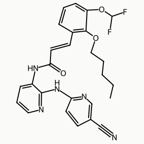 CCCCCOc1c(/C=C/C(=O)Nc2cccnc2Nc2ccc(C#N)cn2)cccc1OC(F)F